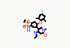 C=CS(=O)(=O)Nc1ccc(Oc2c(C)cc(F)cc2C)c(-c2cn(C)c(=O)c3sc(C)nc23)c1